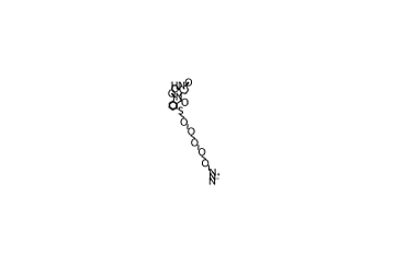 [N-]=[N+]=NCCOCCOCCOCCOCCOCCSc1cccc2c1C(=O)N(C1CCC(=O)NC1=O)C2=O